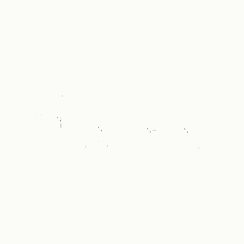 O=C1COc2ccc(N3C[C@H](CCNCC4Cn5c(=O)ccc6cccc4c65)OC3=O)cc2N1